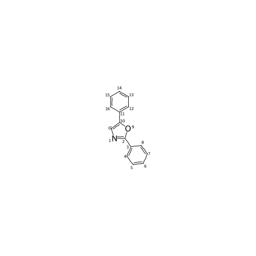 [c]1nc(-c2ccccc2)oc1-c1ccccc1